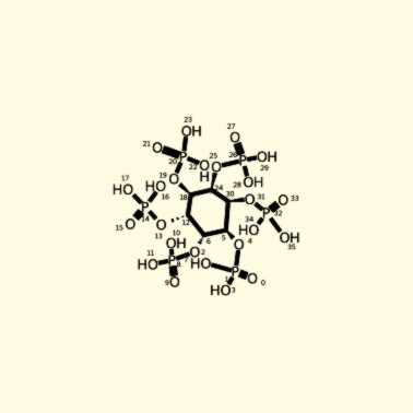 O=P(O)(O)O[C@H]1[C@H](OP(=O)(O)O)[C@H](OP(=O)(O)O)[C@@H](OP(=O)(O)O)[C@@H](OP(=O)(O)O)[C@H]1OP(=O)(O)O